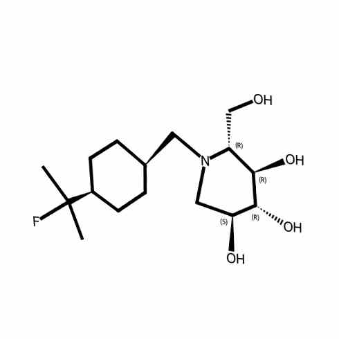 CC(C)(F)[C@H]1CC[C@@H](CN2C[C@H](O)[C@@H](O)[C@H](O)[C@H]2CO)CC1